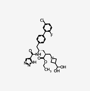 CCOC(=O)[C@@H](C[C@@H](Cc1ccc(-c2cc(Cl)ccc2F)cc1)NC(=O)c1cnn[nH]1)CN1CC(C(O)O)C1